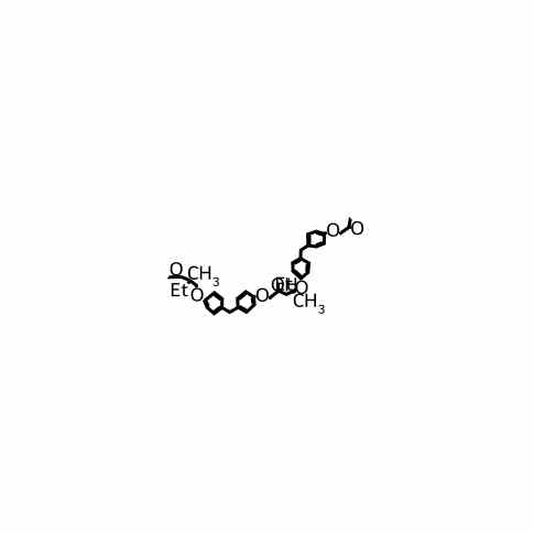 CCC(C)(CC(O)COc1ccc(Cc2ccc(OCC(C)(CC)C3CO3)cc2)cc1)Oc1ccc(Cc2ccc(OCC3CO3)cc2)cc1